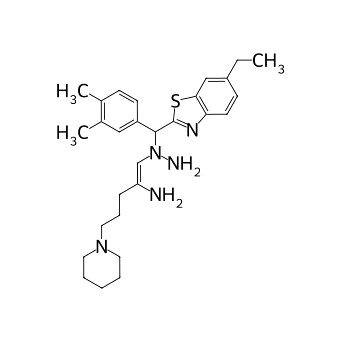 CCc1ccc2nc(C(c3ccc(C)c(C)c3)N(N)/C=C(\N)CCCN3CCCCC3)sc2c1